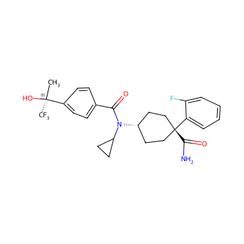 C[C@](O)(c1ccc(C(=O)N(C2CC2)[C@H]2CC[C@@](C(N)=O)(c3ccccc3F)CC2)cc1)C(F)(F)F